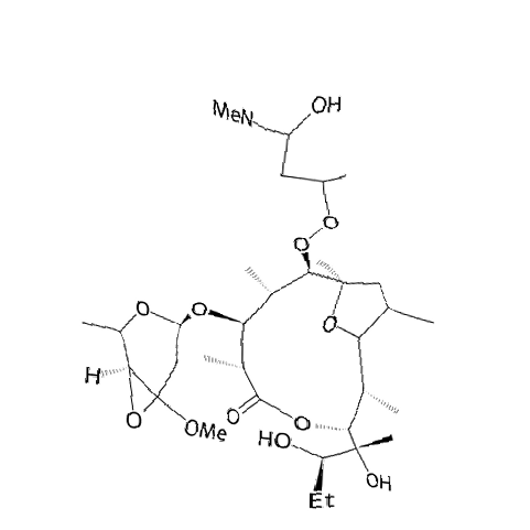 CC[C@@H](O)[C@@](C)(O)[C@@H]1OC(=O)[C@H](C)[C@@H](O[C@H]2CC3(OC)O[C@H]3C(C)O2)[C@H](C)[C@@H](OOC(C)CC(O)NC)[C@@]2(C)CC(C)C(O2)[C@@H]1C